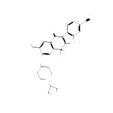 CCc1cc2c(cc1OC1CCN(C3COC3)CC1)C(C)(C)c1[nH]c3cc(C#N)ccc3c1C2=O